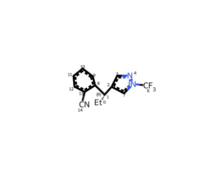 CC[C@@H](c1cnn(C(F)(F)F)c1)c1ccccc1C#N